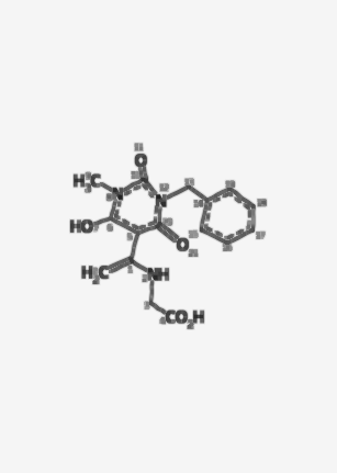 C=C(NCC(=O)O)c1c(O)n(C)c(=O)n(Cc2ccccc2)c1=O